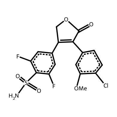 COc1cc(C2=C(c3cc(F)c(S(N)(=O)=O)c(F)c3)COC2=O)ccc1Cl